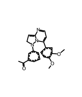 COc1ccc(C2=CC=NC3=CCN(c4cccc(C(C)=O)c4)N32)cc1OC